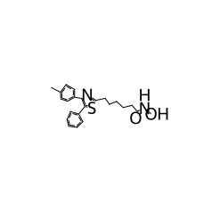 Cc1ccc(-c2nc(CCCCCC(=O)NO)sc2-c2ccccc2)cc1